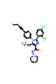 CCc1c(C(=O)NN2CCCCC2)nc(-c2ccc(Cl)cc2Cl)n1-c1ccc(C#CCCF)cc1